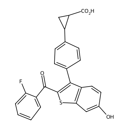 O=C(c1ccccc1F)c1sc2cc(O)ccc2c1-c1ccc(C2CC2C(=O)O)cc1